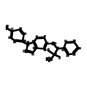 CC(C)(N)C(Oc1ccc2c(cnn2-c2ccc(F)cc2)c1)c1ccccc1